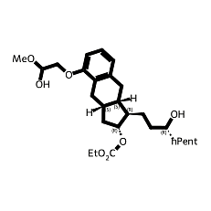 CCCCC[C@@H](O)CC[C@@H]1[C@H]2Cc3cccc(OCC(O)OC)c3C[C@H]2C[C@H]1OC(=O)OCC